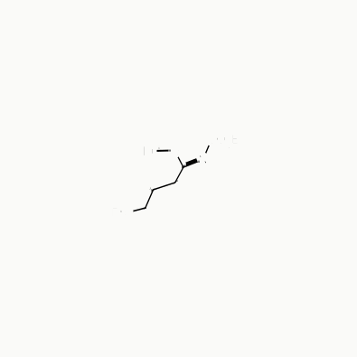 CCOC(=O)N=C(CCCC(F)(F)F)OCC